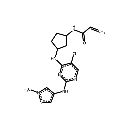 C=CC(=O)NC1CCC(Nc2nc(Nc3cnn(C)c3)ncc2Cl)C1